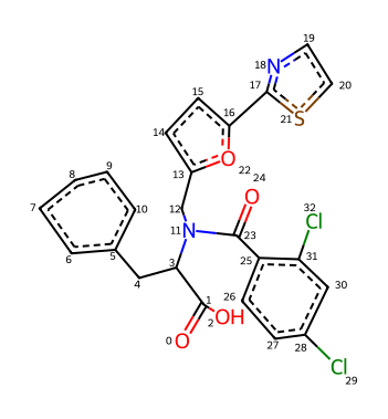 O=C(O)C(Cc1ccccc1)N(Cc1ccc(-c2nccs2)o1)C(=O)c1ccc(Cl)cc1Cl